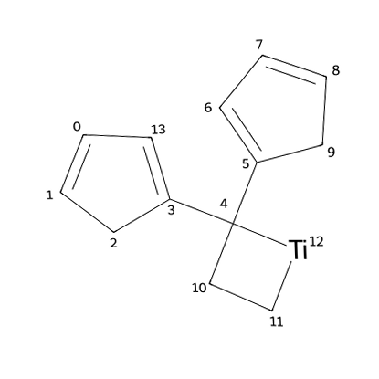 C1=CCC([C]2(C3=CC=CC3)C[CH2][Ti]2)=C1